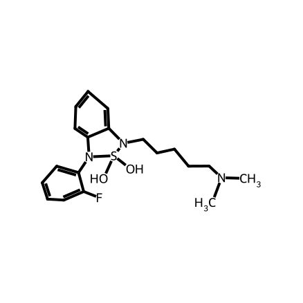 CN(C)CCCCCN1c2ccccc2N(c2ccccc2F)S1(O)O